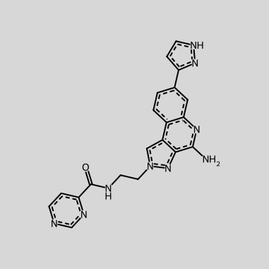 Nc1nc2cc(-c3cc[nH]n3)ccc2c2cn(CCNC(=O)c3ccncn3)nc12